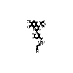 N#CCCO[PH](=O)OC1CCCN(c2cc(-n3ccnc3)c3ccc(Cl)c(Cl)c3n2)C1